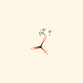 C.O=C([O-])[O-].[K+].[K+]